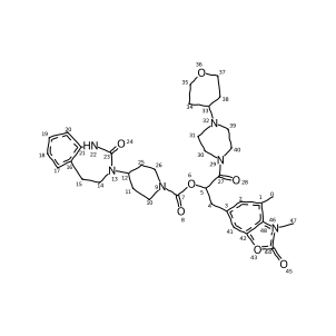 Cc1cc(CC(OC(=O)N2CCC(N3CCc4ccccc4NC3=O)CC2)C(=O)N2CCN(C3CCOCC3)CC2)cc2oc(=O)n(C)c12